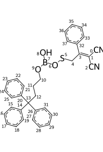 N#CC(C#N)=C(CSOB(O)OCCCC(c1ccccc1)(c1ccccc1)c1ccccc1)c1ccccc1